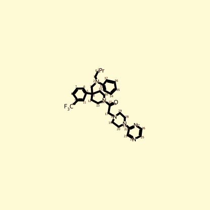 CC(C)CN(CC1(c2cccc(C(F)(F)F)c2)CCN(C(=O)CN2CCN(c3cnccn3)CC2)CC1)c1ccccc1